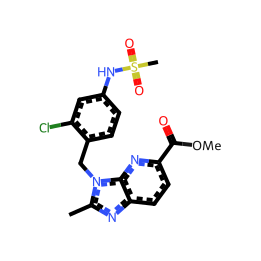 COC(=O)c1ccc2nc(C)n(Cc3ccc(NS(C)(=O)=O)cc3Cl)c2n1